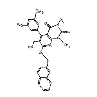 COc1cc(OC)cc(-c2c(CN)c(NCc3ccc4ccccc4c3)nc3c2c(=O)n(C)c(=O)n3C)c1